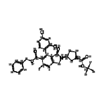 Cc1nc2c(c(-c3ccc(Cl)cc3Cl)c1C(=O)OCc1ccccc1)C(=O)N([C@H]1CCN(C(=O)OC(C)(C)C)C1)C2